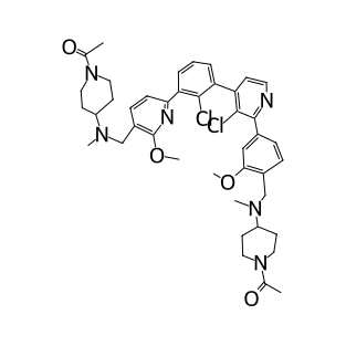 COc1cc(-c2nccc(-c3cccc(-c4ccc(CN(C)C5CCN(C(C)=O)CC5)c(OC)n4)c3Cl)c2Cl)ccc1CN(C)C1CCN(C(C)=O)CC1